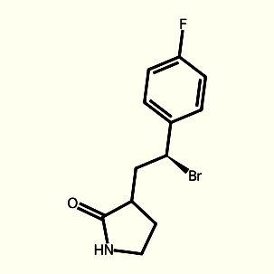 O=C1NCCC1C[C@H](Br)c1ccc(F)cc1